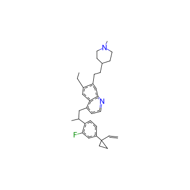 C=CC1(c2ccc(C(C)Cc3ccnc4cc(CCC5CCN(C)CC5)c(CC)cc34)c(F)c2)CC1